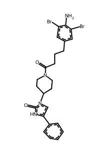 Nc1c(Br)cc(CCCC(=O)N2CCC(n3cc(-c4ccccc4)[nH]c3=O)CC2)cc1Br